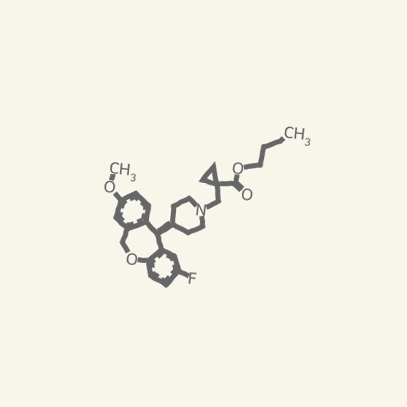 CCCCOC(=O)C1(CN2CCC(=C3c4ccc(OC)cc4COc4ccc(F)cc43)CC2)CC1